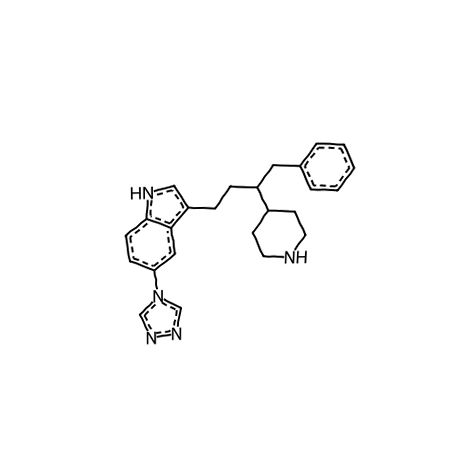 c1ccc(CC(CCc2c[nH]c3ccc(-n4cnnc4)cc23)C2CCNCC2)cc1